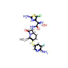 Nc1nc(/C(=N/O)C(=O)N[C@@H]2C(=O)N3C(C(=O)O)=C(Sc4cnc(N)c(F)c4)CCC23)c(Cl)s1